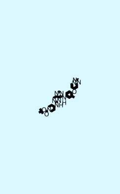 Cc1cc(Nc2ncnc3cnc(NC4CCN(C(=O)OC(C)(C)C)CC4)nc23)ccc1Oc1ccn2ncnc2c1